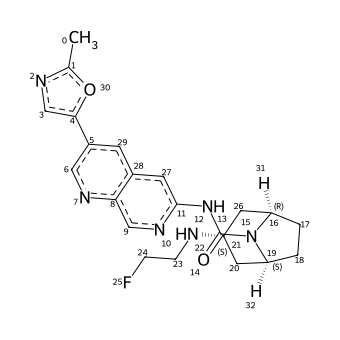 Cc1ncc(-c2cnc3cnc(NC(=O)N4[C@@H]5CC[C@H]4C[C@H](NCCF)C5)cc3c2)o1